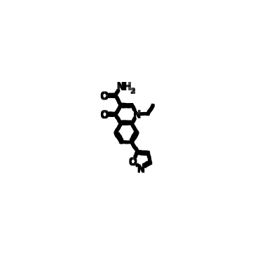 CCn1cc(C(N)=O)c(=O)c2ccc(-c3ccno3)cc21